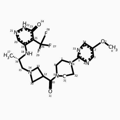 COc1cnc(N2CCN(C(=O)C3CN(C[C@H](C)Nc4cn[nH]c(=O)c4C(F)(F)F)C3)CC2)nc1